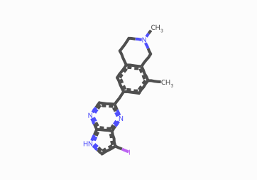 Cc1cc(-c2cnc3[nH]cc(I)c3n2)cc2c1CN(C)CC2